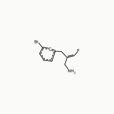 NC/C(=C/F)Cc1cccc(Br)c1